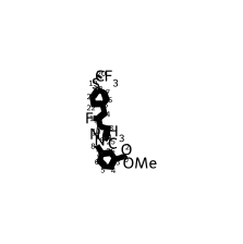 COC(=O)c1cccc(Cn2nc(C(F)=Cc3ccc(SC(F)(F)F)cc3)cc2C)c1